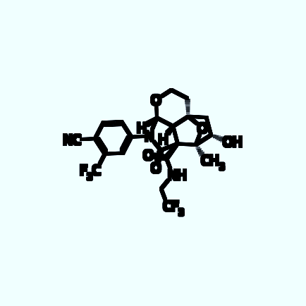 C[C@@]12O[C@]3(CCO[C@@H]4[C@H]3[C@@]1(C(=O)NCC(F)(F)F)C(=O)N4c1ccc(C#N)c(C(F)(F)F)c1)C[C@@H]2O